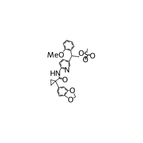 COc1ccccc1C(COS(C)(=O)=O)c1ccc(NC(=O)C2(c3ccc4c(c3)OCO4)CC2)nc1